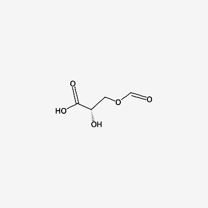 O=COC[C@H](O)C(=O)O